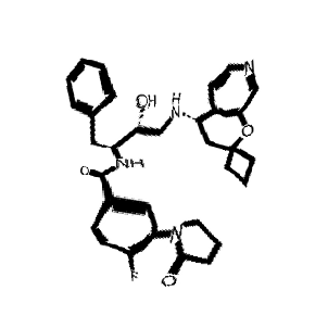 O=C(N[C@@H](Cc1ccccc1)[C@H](O)CN[C@H]1CC2(CCC2)Oc2cnccc21)c1ccc(F)c(N2CCCC2=O)c1